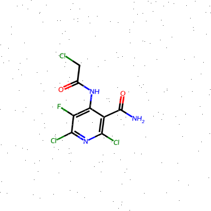 NC(=O)c1c(Cl)nc(Cl)c(F)c1NC(=O)CCl